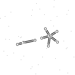 [O]=[Ti](=[O])(=[O])(=[O])=[O].[O]=[Ti]=[O]